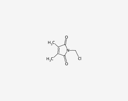 CC1=C(C)C(=O)N(CCl)C1=O